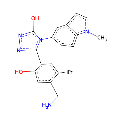 CC(C)c1cc(-c2nnc(O)n2-c2ccc3c(ccn3C)c2)c(O)cc1CN